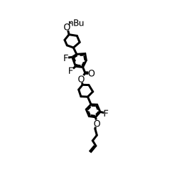 C=CCCCOc1ccc(C2CCC(OC(=O)c3ccc(C4CCC(OCCCC)CC4)c(F)c3F)CC2)cc1F